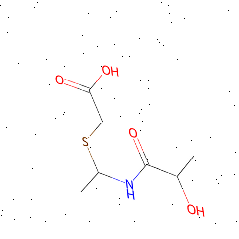 CC(NC(=O)C(C)O)SCC(=O)O